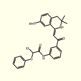 CCC(Oc1ccccc1)C(=O)Nc1cccc(C(=O)C=C2NC(C)(C)Cc3ccc(OC)cc32)c1